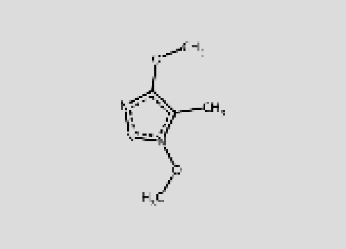 COc1nnn(OC)c1C